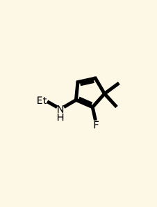 CCNC1=C(F)C(C)(C)C=C1